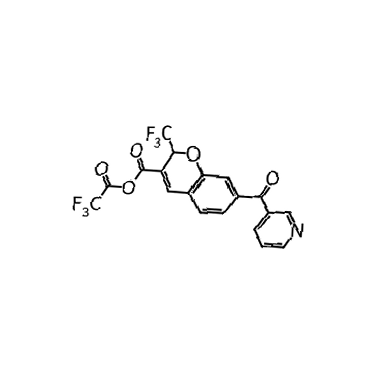 O=C(OC(=O)C(F)(F)F)C1=Cc2ccc(C(=O)c3cccnc3)cc2OC1C(F)(F)F